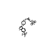 CS(=O)(=O)OC[C@@H]1CC1CN1CCN(c2csc3cc(C(F)(F)F)ccc23)CC1